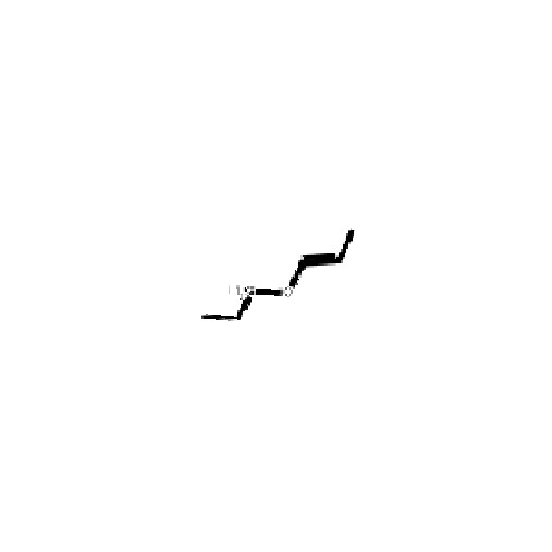 CC=CO[SiH2]CC